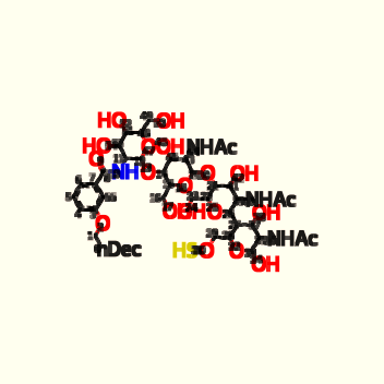 CCCCCCCCCCCOc1cccc(C(=O)NC2C(OC3C(CO)OC(OC4C(CO)OC(C5C(COS)OC(O)C(NC(C)=O)C5O)C(NC(C)=O)C4O)C(NC(C)=O)C3O)OC(CO)C(O)C2O)c1